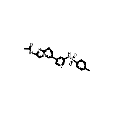 CC(=O)Nc1cn2cc(-c3cncc(NS(=O)(=O)c4ccc(C)cc4)c3)ccc2n1